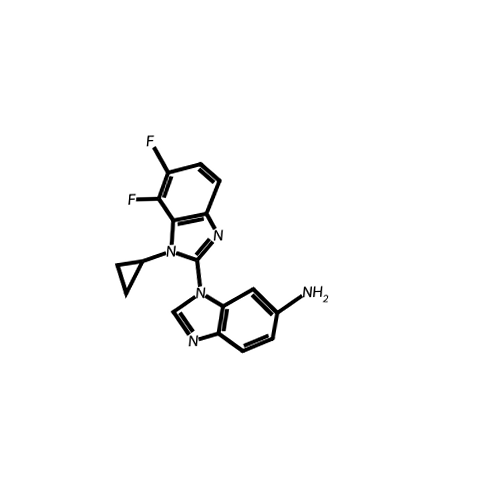 Nc1ccc2ncn(-c3nc4ccc(F)c(F)c4n3C3CC3)c2c1